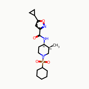 C[C@H]1CN(S(=O)(=O)C2CCCCC2)CC[C@H]1NC(=O)c1cc(C2CC2)on1